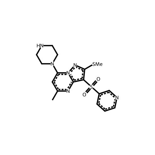 CSc1nn2c(N3CCNCC3)cc(C)nc2c1S(=O)(=O)c1cccnc1